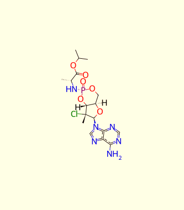 CC(C)OC(=O)[C@@H](C)N[P@]1(=O)OC[C@H]2O[C@@H](n3cnc4c(N)ncnc43)[C@](C)(Cl)[C@@H]2O1